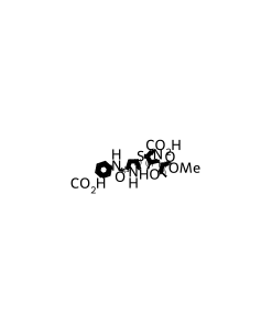 COC(=O)[C@@H](C1N=C(C(=O)O)C(S[C@@H]2CN[C@H](C(=O)Nc3cccc(C(=O)O)c3)C2)[C@@H]1C)[C@@H](C)O